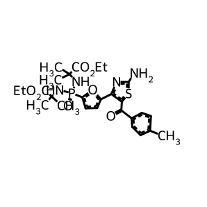 CCOC(=O)C(C)(C)NP(=O)(NC(C)(C)C(=O)OCC)c1ccc(-c2nc(N)sc2C(=O)c2ccc(C)cc2)o1